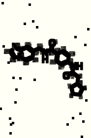 O=C(CC1CCCC1)Nc1ccc(C(=O)NCc2ccn3ccnc3c2)cc1